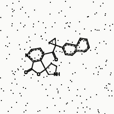 O=C1OC2(CCNC2)c2c(C(=O)C3(c4ccc5ccccc5c4)CC3)ccnc21